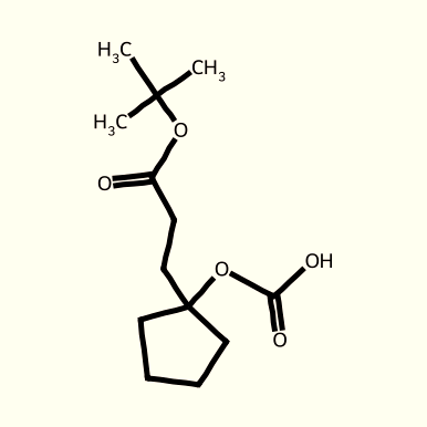 CC(C)(C)OC(=O)CCC1(OC(=O)O)CCCC1